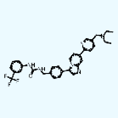 CCN(CC)Cc1ccc(-c2ccn3c(-c4ccc(CNC(=O)Nc5cccc(C(F)(F)F)c5)cc4)cnc3c2)nc1